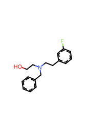 OCCN(CCc1cccc(F)c1)Cc1ccccc1